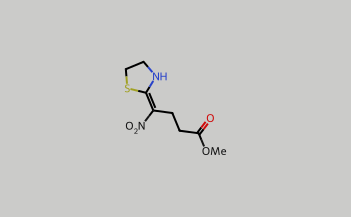 COC(=O)CCC(=C1NCCS1)[N+](=O)[O-]